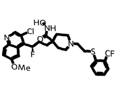 COc1ccc2ncc(Cl)c([C@H](F)CCC3(C(=O)NO)CCN(CCSc4ccccc4C(F)(F)F)CC3)c2c1